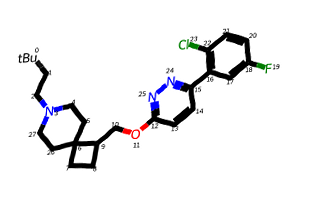 CC(C)(C)CCN1CCC2(CCC2COc2ccc(-c3cc(F)ccc3Cl)nn2)CC1